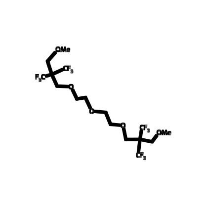 COCC(COCCOCCOCC(COC)(C(F)(F)F)C(F)(F)F)(C(F)(F)F)C(F)(F)F